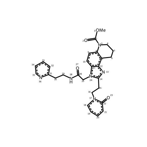 COC(=O)N1CCCc2c1ccc1c2nc(CCn2ccccc2=O)n1CC(=O)NCCc1ccccn1